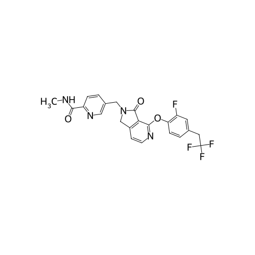 CNC(=O)c1ccc(CN2Cc3ccnc(Oc4ccc(CC(F)(F)F)cc4F)c3C2=O)cn1